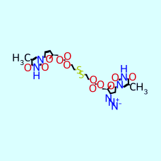 Cc1cn([C@H]2C=C[C@@H](COC(=O)OCCSSCCOC(=O)OC[C@H]3O[C@@H](n4cc(C)c(=O)[nH]c4=O)C[C@@H]3N=[N+]=[N-])O2)c(=O)[nH]c1=O